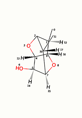 C[C@@H]1C2O[C@H]3[C@H](O)[C@H](O[C@H]31)[C@H]2C